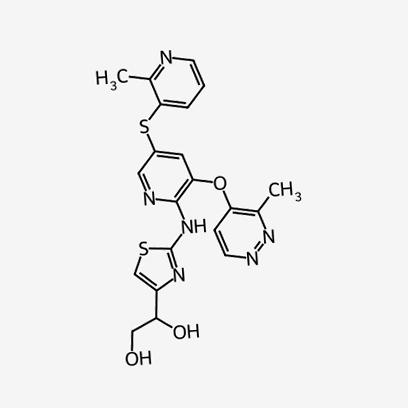 Cc1nnccc1Oc1cc(Sc2cccnc2C)cnc1Nc1nc(C(O)CO)cs1